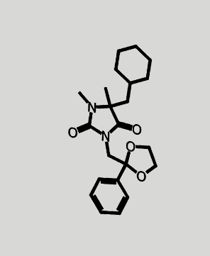 CN1C(=O)N(CC2(c3ccccc3)OCCO2)C(=O)C1(C)CC1CCCCC1